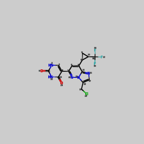 O=c1[nH]cc(-c2cc(C3CC3C(F)(F)F)c3ncc(CCl)n3n2)c(=O)[nH]1